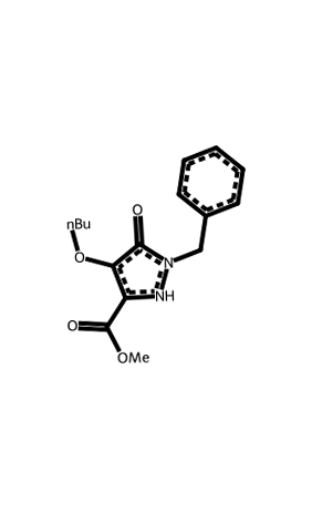 CCCCOc1c(C(=O)OC)[nH]n(Cc2ccccc2)c1=O